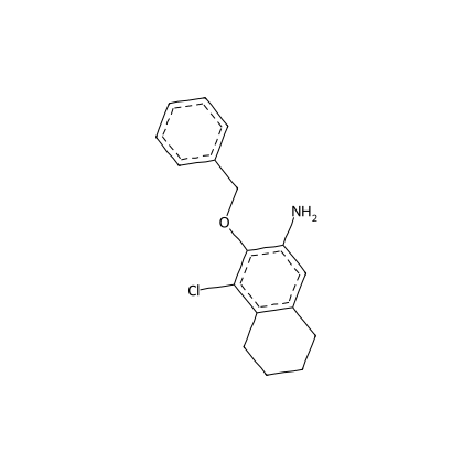 Nc1cc2c(c(Cl)c1OCc1ccccc1)CCCC2